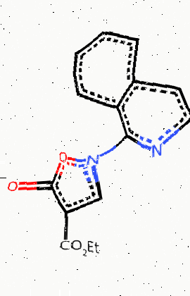 CCOC(=O)c1cn(-c2nccc3ccccc23)oc1=O